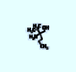 CCCC(N)(CO)C(C)C